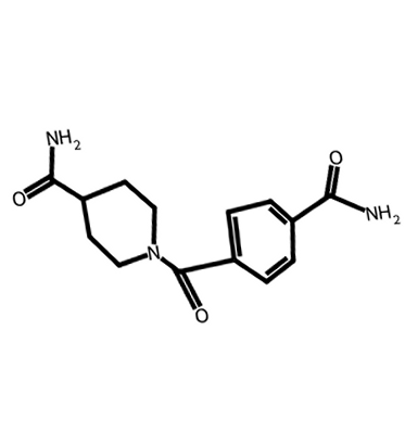 NC(=O)c1ccc(C(=O)N2CCC(C(N)=O)CC2)cc1